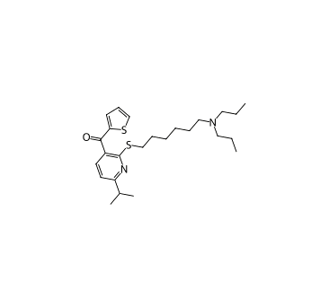 CCCN(CCC)CCCCCCSc1nc(C(C)C)ccc1C(=O)c1cccs1